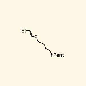 CCC=C[P]CCCCCCCCC